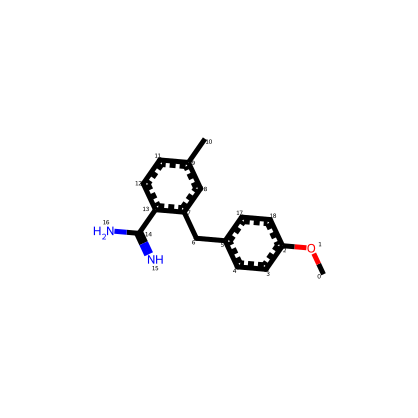 COc1ccc(Cc2cc(C)ccc2C(=N)N)cc1